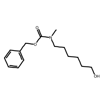 CN(CCCCCCO)C(=O)OCc1ccccc1